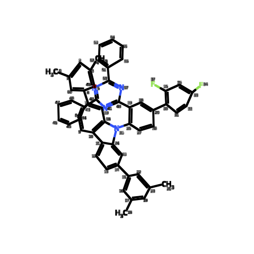 Cc1cc(C)cc(-c2ccc3c4ccc(-c5cc(C)cc(C)c5)cc4n(-c4ccc(-c5ccc(F)cc5F)cc4-c4nc(-c5ccccc5)nc(-c5ccccc5)n4)c3c2)c1